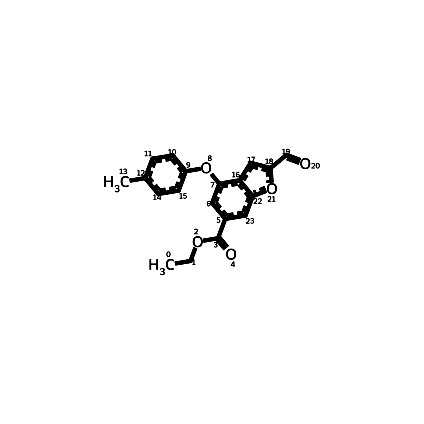 CCOC(=O)c1cc(Oc2ccc(C)cc2)c2cc(C=O)oc2c1